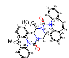 COc1ccccc1N(C(=O)N1CCN(C(=O)N2c3ccccc3C=Cc3ccccc32)[C@H](C(=O)O)C1)c1ccccc1